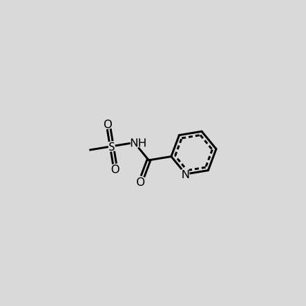 CS(=O)(=O)NC(=O)c1ccccn1